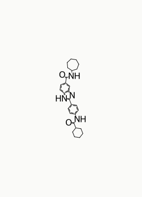 O=C(NC1CCCCCC1)c1ccc2[nH]c(-c3ccc(NC(=O)C4CCCCC4)cc3)nc2c1